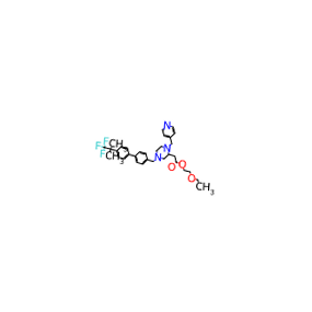 CCOCCOC(=O)CC1CN(Cc2ccc(-c3ccc(C(C)(C)C(F)(F)F)cc3)cc2)CCN1Cc1ccncc1